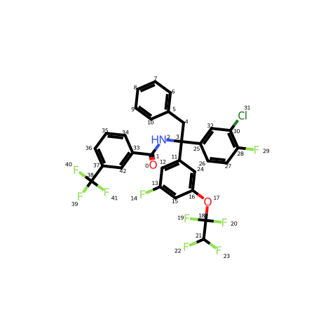 O=C(NC(Cc1ccccc1)(c1cc(F)cc(OC(F)(F)C(F)F)c1)c1ccc(F)c(Cl)c1)c1cccc(C(F)(F)F)c1